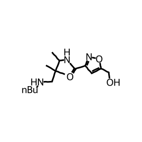 CCCCNCC(C)(C)C(C)NC(=O)c1cc(CO)on1